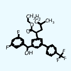 CCOC(=O)C(CC(C)C)c1cc(-c2ccc(C(F)(F)F)cc2)cc(C(O)c2cc(F)cc(F)c2)c1